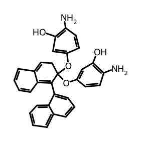 Nc1ccc(OC2(Oc3ccc(N)c(O)c3)CC=c3ccccc3=C2c2cccc3ccccc23)cc1O